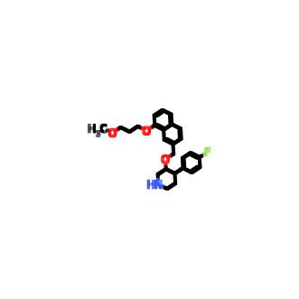 COCCCOc1cccc2ccc(COC3CNCCC3c3ccc(F)cc3)cc12